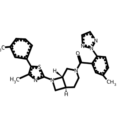 Cc1cccc(-c2sc(N3C[C@@H]4CCN(C(=O)c5cc(C)ccc5-n5nccn5)C[C@H]43)nc2C)c1